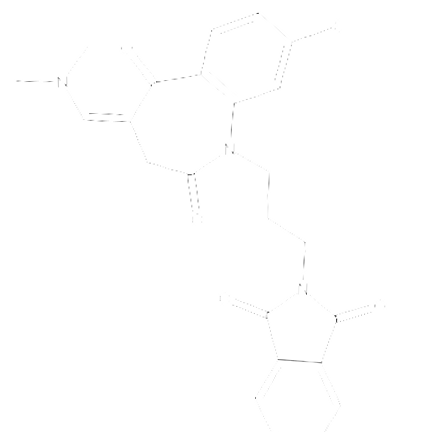 CN(C)C=C1CC(=O)N(CCCN2C(=O)c3ccccc3C2=O)c2cc(Cl)ccc2C1=O